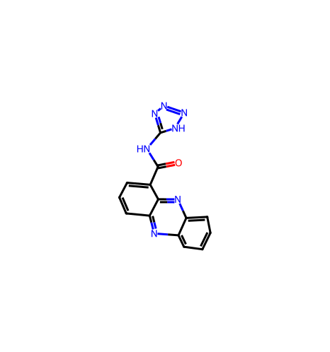 O=C(Nc1nnn[nH]1)c1cccc2nc3ccccc3nc12